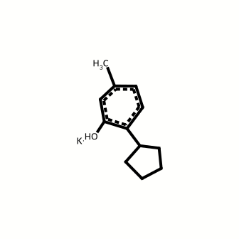 Cc1ccc(C2CCCC2)c(O)c1.[K]